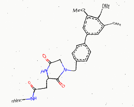 CCCCCCNC(=O)CC1NC(=O)CN(Cc2ccc(-c3cc(OC)c(OC)c(OC)c3)cc2)C1=O